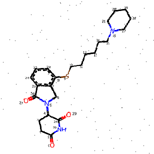 O=C1CCC(N2Cc3c(SCCCCCCN4CCCCC4)cccc3C2=O)C(=O)N1